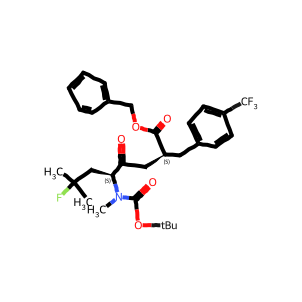 CN(C(=O)OC(C)(C)C)[C@@H](CC(C)(C)F)C(=O)C[C@H](Cc1ccc(C(F)(F)F)cc1)C(=O)OCc1ccccc1